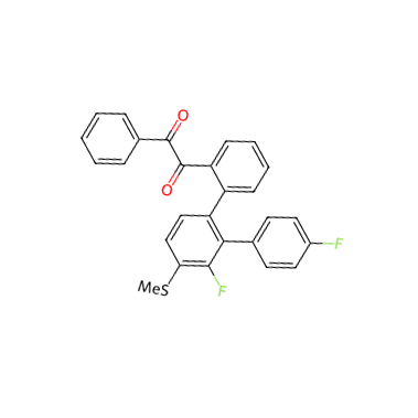 CSc1ccc(-c2ccccc2C(=O)C(=O)c2ccccc2)c(-c2ccc(F)cc2)c1F